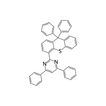 c1ccc(-c2cc(-c3ccccc3)nc(-c3cccc4c3Sc3ccccc3C4(c3ccccc3)c3ccccc3)n2)cc1